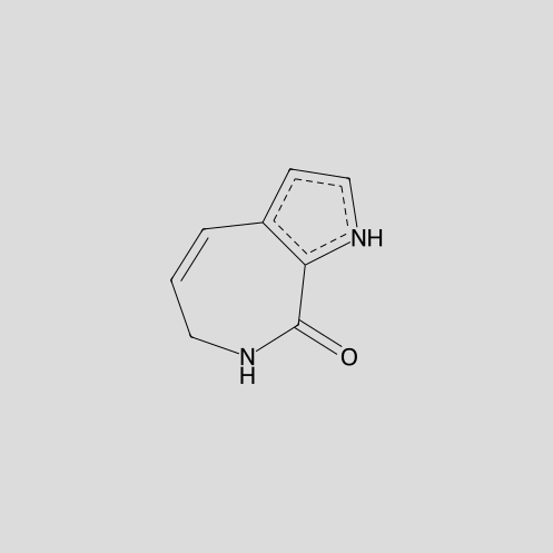 O=C1NCC=Cc2cc[nH]c21